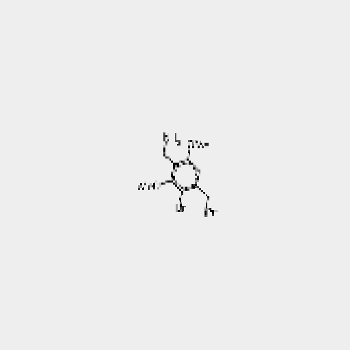 COc1cc(C[C](C)C)c(Br)c(OC)c1CN